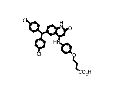 O=C(O)CCCOc1ccc(Nc2cc(=O)[nH]c3ccc(C(c4ccc(Cl)cc4)c4ccc(Cl)cc4)cc23)cc1